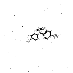 Cc1cc[c]([Al][c]2ccc(C)cc2)cc1.O=C=S